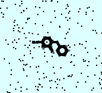 CSc1ncc(Cc2ccccn2)c(=O)[nH]1